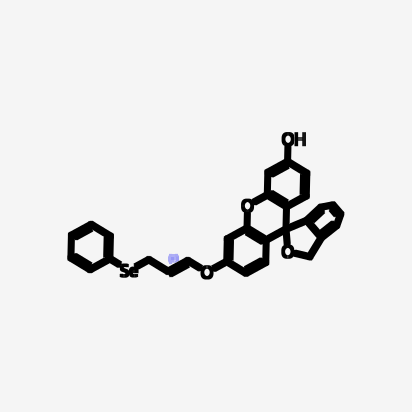 Oc1ccc2c(c1)Oc1cc(O/C=C/C[Se]c3ccccc3)ccc1C21OCc2ccccc21